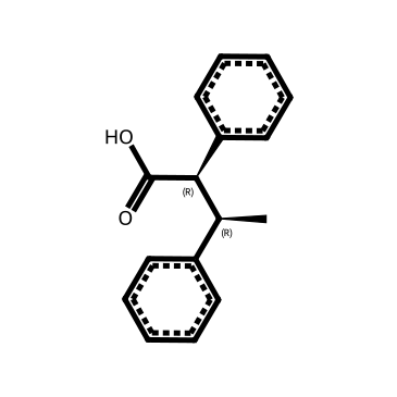 C[C@@H](c1ccccc1)[C@@H](C(=O)O)c1ccccc1